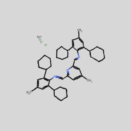 Cc1cc(C=Nc2c(C3CCCCC3)cc(C)cc2C2CCCCC2)nc(C=Nc2c(C3CCCCC3)cc(C)cc2C2CCCCC2)c1.[Cl-].[Cl-].[Cl-].[Fe+3]